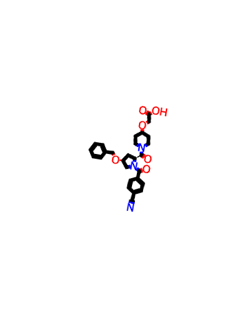 N#Cc1ccc(C(=O)N2C[C@H](OCc3ccccc3)C[C@@H]2C(=O)N2CCC(OCC(=O)O)CC2)cc1